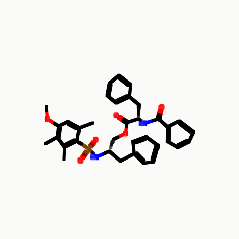 COc1cc(C)c(S(=O)(=O)N[C@H](COC(=O)[C@@H](Cc2ccccc2)NC(=O)c2ccccc2)Cc2ccccc2)c(C)c1C